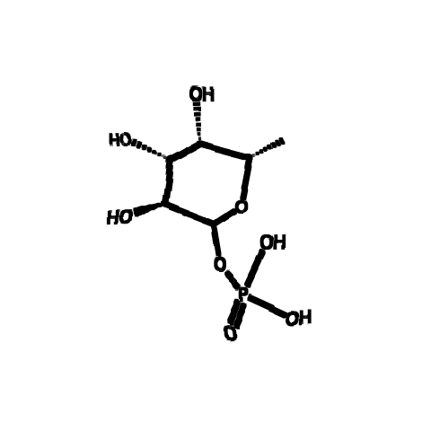 C[C@@H]1OC(OP(=O)(O)O)[C@@H](O)[C@H](O)[C@@H]1O